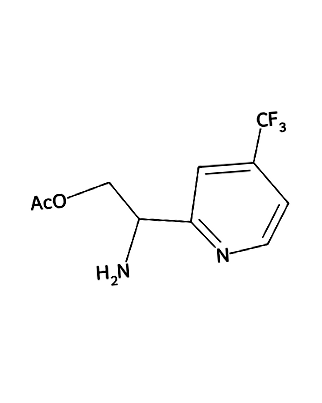 CC(=O)OCC(N)c1cc(C(F)(F)F)ccn1